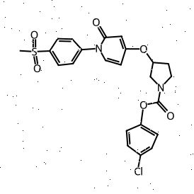 CS(=O)(=O)c1ccc(-n2ccc(OC3CCN(C(=O)Oc4ccc(Cl)cc4)C3)cc2=O)cc1